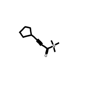 C[Si](C)(C)C(=O)C#CC1CCCC1